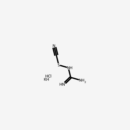 Cl.N#CSNC(=N)N.[KH]